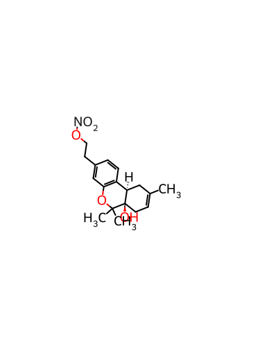 CC1=CC[C@@]2(O)[C@H](C1)c1ccc(CCO[N+](=O)[O-])cc1OC2(C)C